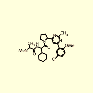 CNC(C)C(=O)NC(C(=O)N1CCCC1c1cc(-c2cc(Cl)ccc2OC)nc(C)n1)C1CCCCC1